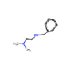 CN(C)CCNCc1c[c]ccc1